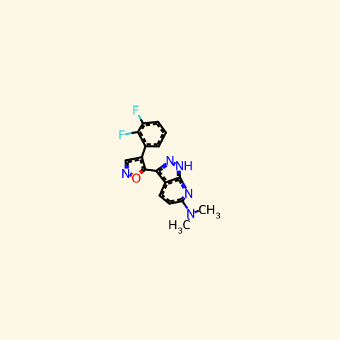 CN(C)c1ccc2c(-c3oncc3-c3cccc(F)c3F)n[nH]c2n1